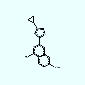 COc1ccc2c(O)nc(-c3nc(C4CC4)cs3)cc2c1